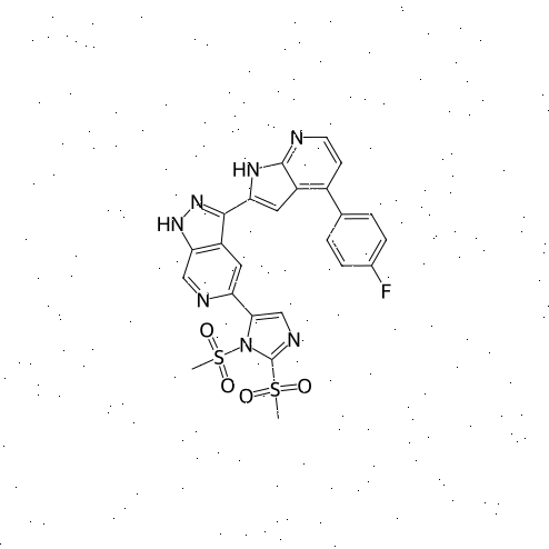 CS(=O)(=O)c1ncc(-c2cc3c(-c4cc5c(-c6ccc(F)cc6)ccnc5[nH]4)n[nH]c3cn2)n1S(C)(=O)=O